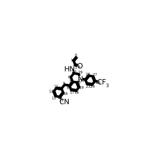 C=CC(=O)NC1Cc2c(Cc3cccc(C#N)c3)cccc2N(c2ccc(C(F)(F)F)cc2)C1